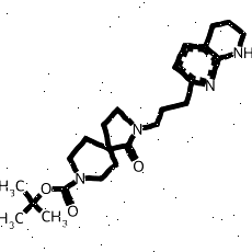 CC(C)(C)OC(=O)N1CCC2(CC1)CCN(CCCc1ccc3c(n1)NCCC3)C2=O